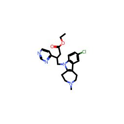 CCOC(=O)CC(Cn1c2c(c3cc(Cl)ccc31)CCN(C)CC2)c1ccncn1